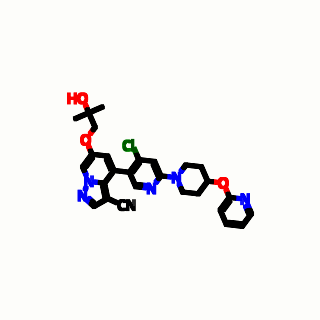 CC(C)(O)COc1cc(-c2cnc(N3CCC(Oc4ccccn4)CC3)cc2Cl)c2c(C#N)cnn2c1